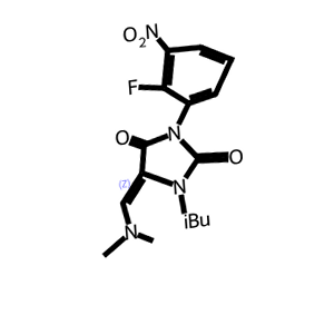 CCC(C)N1C(=O)N(c2cccc([N+](=O)[O-])c2F)C(=O)/C1=C/N(C)C